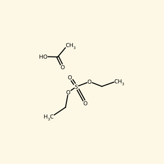 CC(=O)O.CCOS(=O)(=O)OCC